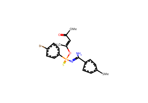 COC(=O)C=C(C)OP(=S)(N=C(N)c1ccc(SC)cc1)c1ccc(Br)cc1